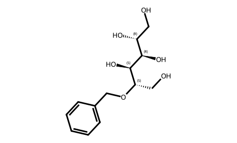 OC[C@@H](O)[C@@H](O)[C@H](O)[C@H](CO)OCc1ccccc1